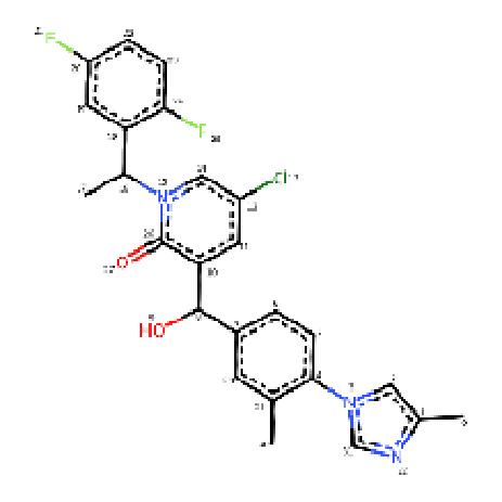 Cc1cn(-c2ccc(C(O)c3cc(Cl)cn(C(C)c4cc(F)ccc4F)c3=O)cc2C)cn1